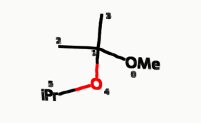 COC(C)(C)OC(C)C